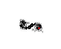 COC(=O)N[C@H](C(=O)N1[C@H](c2nc(-c3ccc4c(c3)-c3ccc(-c5c[nH]c(C6C[C@@H]7CCC[C@@H]7N6C(=O)[C@@H](C)[C@@H](C)O)n5)cc3-4)c[nH]2)C[C@@H]2CCC[C@@H]21)[C@@H](C)O